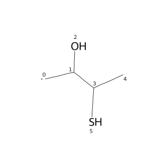 [CH2]C(O)C(C)S